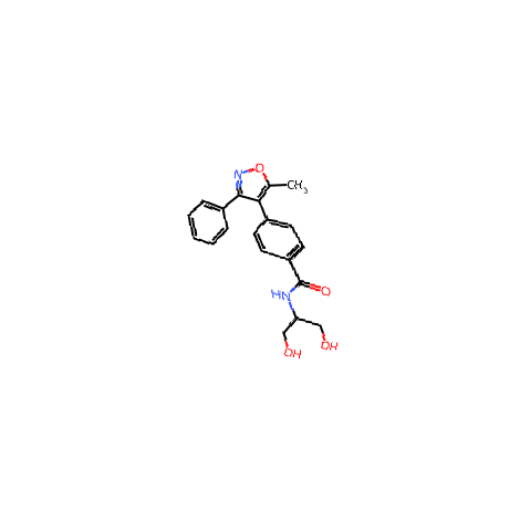 Cc1onc(-c2ccccc2)c1-c1ccc(C(=O)NC(CO)CO)cc1